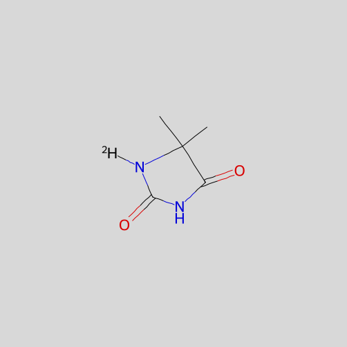 [2H]N1C(=O)NC(=O)C1(C)C